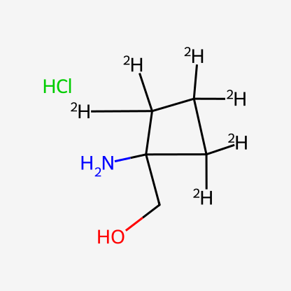 Cl.[2H]C1([2H])C([2H])([2H])C(N)(CO)C1([2H])[2H]